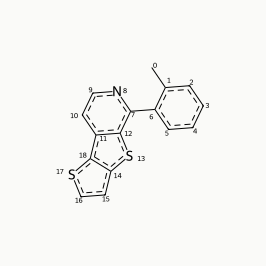 Cc1ccccc1-c1nccc2c1sc1ccsc12